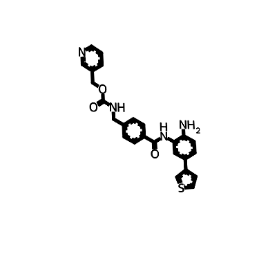 Nc1ccc(-c2ccsc2)cc1NC(=O)c1ccc(CNC(=O)OCc2cccnc2)cc1